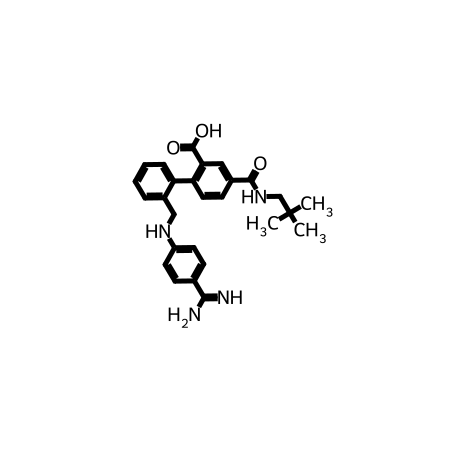 CC(C)(C)CNC(=O)c1ccc(-c2ccccc2CNc2ccc(C(=N)N)cc2)c(C(=O)O)c1